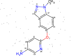 Cn1ncc2cc(Oc3ccc(N)cn3)ccc21